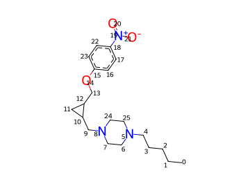 CCCCCN1CCN(CC2CC2COc2ccc([N+](=O)[O-])cc2)CC1